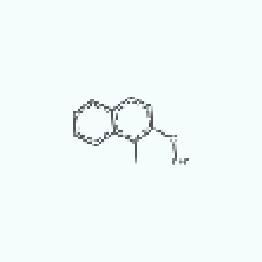 CCCOc1ccc2ccccc2c1C